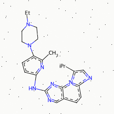 CCN1CCN(c2ccc(Nc3ncc4ccc5ncc(C(C)C)n5c4n3)nc2C)CC1